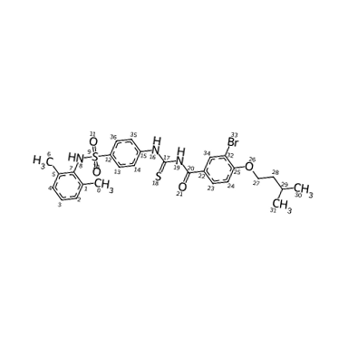 Cc1cccc(C)c1NS(=O)(=O)c1ccc(NC(=S)NC(=O)c2ccc(OCCC(C)C)c(Br)c2)cc1